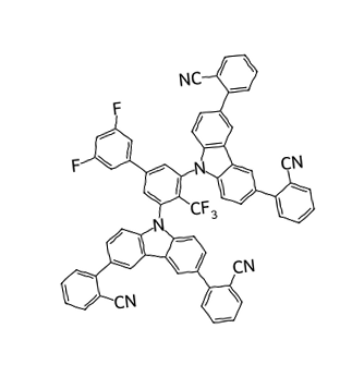 N#Cc1ccccc1-c1ccc2c(c1)c1cc(-c3ccccc3C#N)ccc1n2-c1cc(-c2cc(F)cc(F)c2)cc(-n2c3ccc(-c4ccccc4C#N)cc3c3cc(-c4ccccc4C#N)ccc32)c1C(F)(F)F